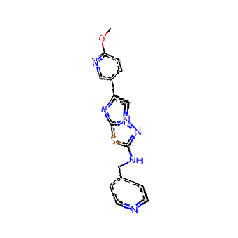 COc1ccc(-c2cn3nc(NCc4ccncc4)sc3n2)cn1